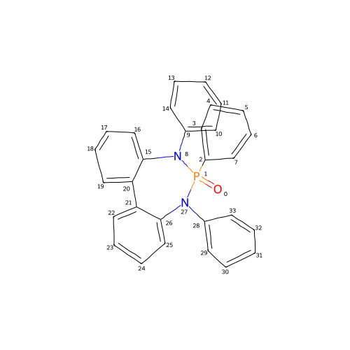 O=P1(c2ccccc2)N(c2ccccc2)c2ccccc2-c2ccccc2N1c1ccccc1